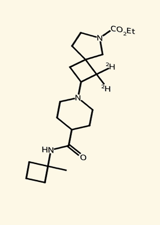 [2H]C1([2H])C(N2CCC(C(=O)NC3(C)CCC3)CC2)CC12CCN(C(=O)OCC)C2